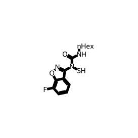 CCCCCCNC(=O)N(S)c1noc2c(F)cccc12